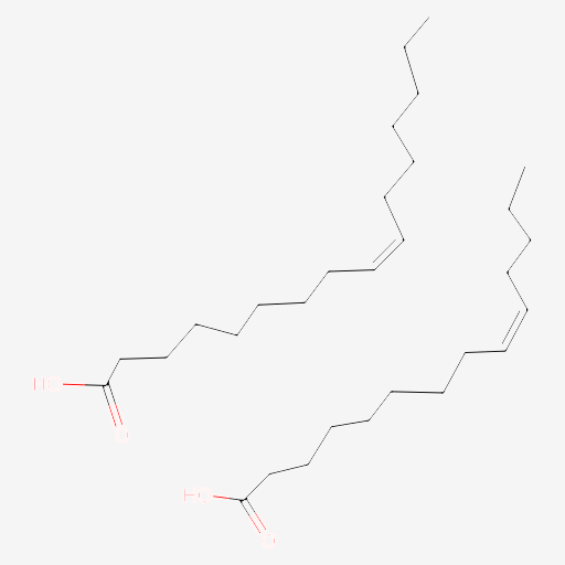 CCCC/C=C\CCCCCCCC(=O)O.CCCCCC/C=C\CCCCCCCC(=O)O